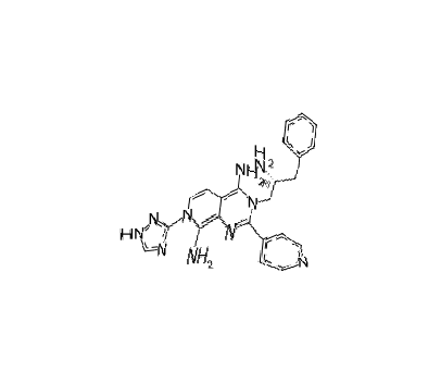 NC1=C2C=CN(c3nc[nH]n3)C(N)=C2N=C(c2ccncc2)N1C[C@H](N)Cc1ccccc1